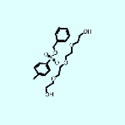 Cc1ccc(S(=O)(=O)OCc2ccccc2)cc1.OCCOCCOCCOCCO